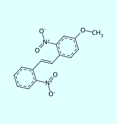 COc1ccc(/C=C/c2ccccc2[N+](=O)[O-])c([N+](=O)[O-])c1